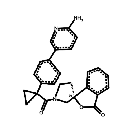 Nc1ccc(-c2ccc(C3(C(=O)N4CC[C@@]5(C4)OC(=O)c4ccccc45)CC3)cc2)cn1